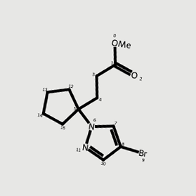 COC(=O)CCC1(n2cc(Br)cn2)CCCC1